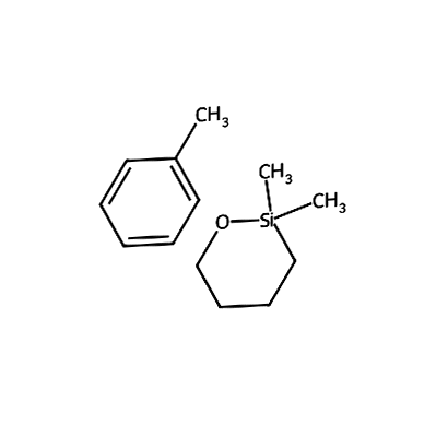 C[Si]1(C)CCCCO1.Cc1ccccc1